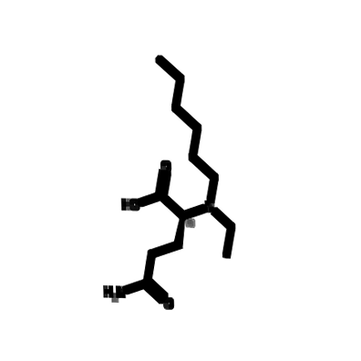 CCCCCCN(CC)[C@@H](CCC(N)=O)C(=O)O